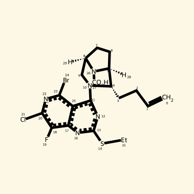 C=CCC[C@H]1[C@@H]2CC[C@H](CN1c1nc(SCC)nc3c(F)c(Cl)nc(Br)c13)N2C(=O)O